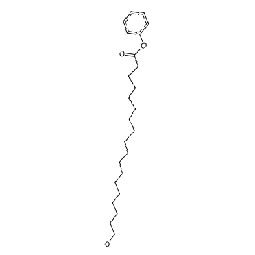 [O]CCCCCCCCCCCCCCCCCC(=O)Oc1ccccc1